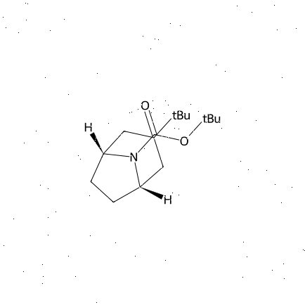 CC(C)(C)OC(=O)N1[C@@H]2CC[C@H]1CC(C(C)(C)C)C2